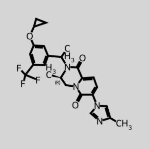 Cc1cn(-c2ccc3n(c2=O)C[C@@H](C)N(C(C)c2cc(OC4CC4)cc(C(F)(F)F)c2)C3=O)cn1